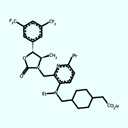 CCN(CC1CCC(CC(=O)O)CC1)c1ccc(C(C)C)nc1CN1C(=O)O[C@H](c2cc(C(F)(F)F)cc(C(F)(F)F)c2)[C@H]1C